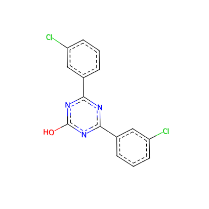 Oc1nc(-c2cccc(Cl)c2)nc(-c2cccc(Cl)c2)n1